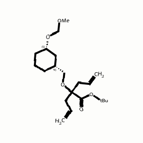 C=CCC(CC=C)(OC[C@@H]1CCC[C@H](OCOC)C1)C(=O)OC(C)(C)C